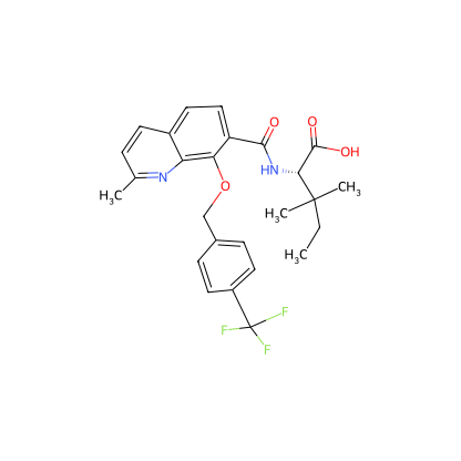 CCC(C)(C)[C@H](NC(=O)c1ccc2ccc(C)nc2c1OCc1ccc(C(F)(F)F)cc1)C(=O)O